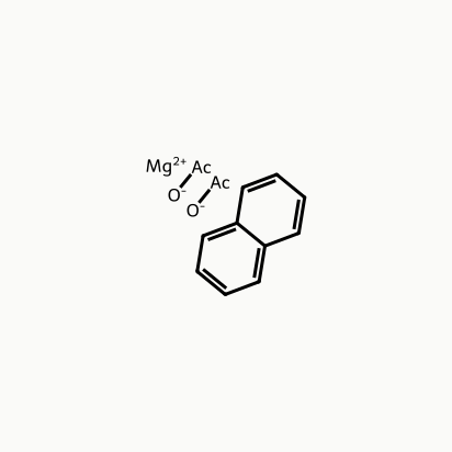 CC(=O)[O-].CC(=O)[O-].[Mg+2].c1ccc2ccccc2c1